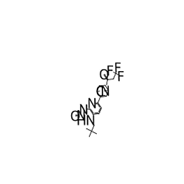 CN(N=O)c1nc(C2=CC3CCC2CN3C(=O)CC(F)(F)F)ccc1NCC(C)(C)C